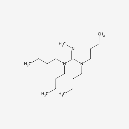 CCCCN(CCCC)C(=NC)N(CCCC)CCCC